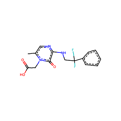 Cc1cnc(NCC(F)(F)c2ccccc2)c(=O)n1CC(=O)O